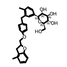 Cc1ccc([C@@H]2O[C@H](CO)[C@@H](O)[C@H](O)[C@H]2O)cc1Cc1ccc(OCC2Cc3c(C)cccc3O2)cc1